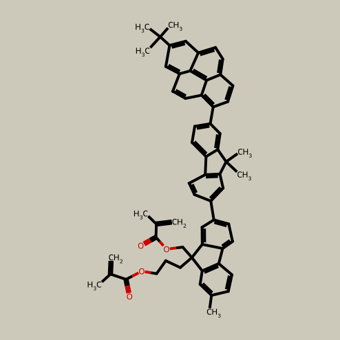 C=C(C)C(=O)OCCCC1(COC(=O)C(=C)C)c2cc(C)ccc2-c2ccc(-c3ccc4c(c3)C(C)(C)c3cc(-c5ccc6ccc7cc(C(C)(C)C)cc8ccc5c6c78)ccc3-4)cc21